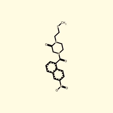 CSCCN1CCN(C(=O)c2cccc3cc([N+](=O)[O-])ccc23)CC1=O